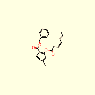 CCC/C=C\CC(=O)Oc1cc(C)ccc1C(=O)OCc1ccccc1